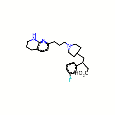 O=C(O)CC(CC1CCN(CCCc2ccc3c(n2)NCCC3)CC1)c1cccc(F)c1